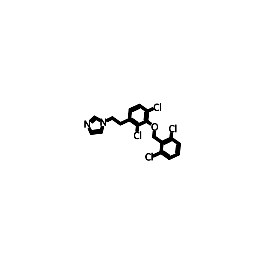 Clc1cccc(Cl)c1COc1c(Cl)ccc(CCn2ccnc2)c1Cl